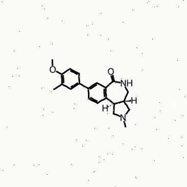 COc1ccc(-c2ccc3c(c2)C(=O)NC[C@@H]2CN(C)C[C@@H]32)cc1C